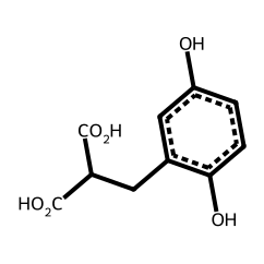 O=C(O)C(Cc1cc(O)ccc1O)C(=O)O